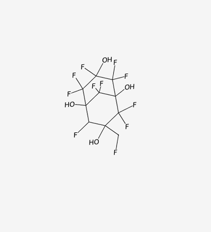 OC1(CF)C(F)C2(O)C(F)(F)C(O)(F)C(F)(F)C(O)(C1(F)F)C2(F)F